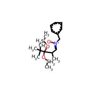 C[SiH2]OC(O[SiH2]C)(C(C)/C=[N+](\[O-])Cc1ccccc1)C(C)(C)C